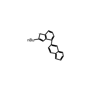 CCCCC1=Cc2c(cccc2-c2ccc3ccccc3c2)[CH]1